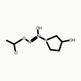 CC(Cl)O/N=[N+](\O)N1CCC(O)C1